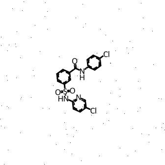 O=C(Nc1ccc(Cl)cc1)c1cccc(S(=O)(=O)Nc2ccc(Cl)cn2)c1